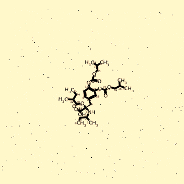 CCC(C)N[C@@](Cc1ccc(OC(=O)OCC(C)C)c(OC(=O)OCC(C)C)c1)(OC(=O)C(C)CC)C(=O)O